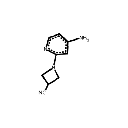 N#CC1CN(c2cc(N)ccn2)C1